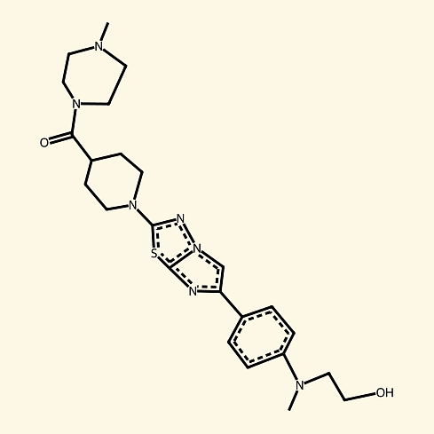 CN1CCN(C(=O)C2CCN(c3nn4cc(-c5ccc(N(C)CCO)cc5)nc4s3)CC2)CC1